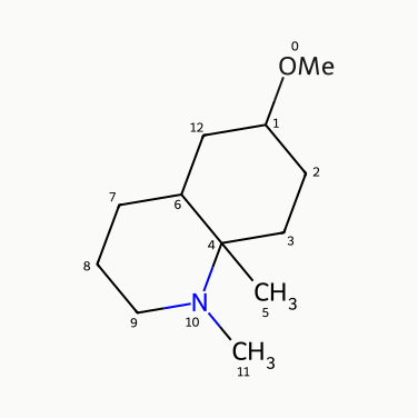 COC1CCC2(C)C(CCCN2C)C1